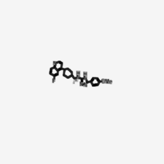 COc1ccc(-c2nnc(N[C@H](C)C3CCC(c4ccnc5ccc(F)cc45)CC3)[nH]2)cc1